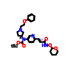 CC(C)(C)OC(=O)N(c1ccc(/C=C/C(=O)NOC2CCCCO2)nc1)[C@@H]1CCN(CCOc2ccccc2)C1